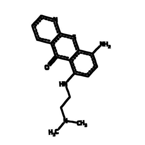 CN(C)CCNc1ccc(N)c2sc3ncccc3c(=O)c12